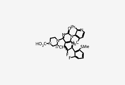 CSc1cccc(F)c1-c1nc2c(cc1F)c(N1CCN(C(=O)O)C[C@@H]1C)nc(=O)n2-c1c(C)ccnc1C(C)C